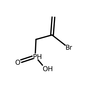 C=C(Br)C[PH](=O)O